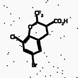 O=C(O)C1Cc2cc(Br)cc(Cl)c2OC1C(F)(F)F